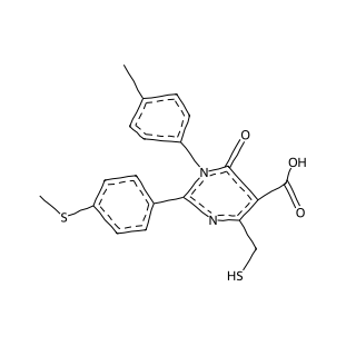 CSc1ccc(-c2nc(CS)c(C(=O)O)c(=O)n2-c2ccc(C)cc2)cc1